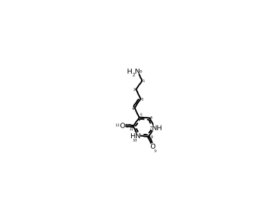 NCCC=Cc1c[nH]c(=O)[nH]c1=O